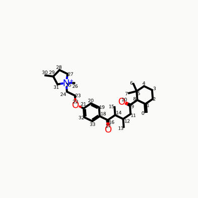 C=C1CCCC(C)(C)C1C(=O)CC(C)C(C)C(=O)c1ccc(OCC[N+]2(C)CCC(C)C2)cc1